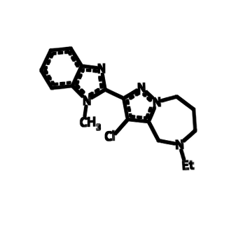 CCN1CCCn2nc(-c3nc4ccccc4n3C)c(Cl)c2C1